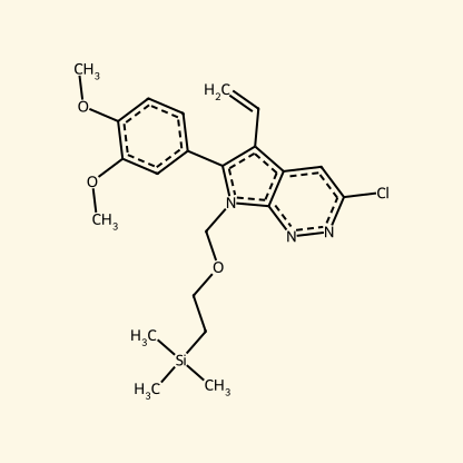 C=Cc1c(-c2ccc(OC)c(OC)c2)n(COCC[Si](C)(C)C)c2nnc(Cl)cc12